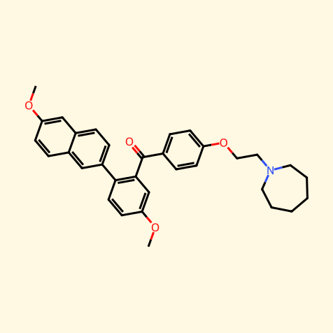 COc1ccc(-c2ccc3cc(OC)ccc3c2)c(C(=O)c2ccc(OCCN3CCCCCC3)cc2)c1